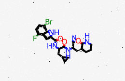 N#CC(C[C@@H]1CCCNC1=O)NC(=O)C(CC1CC1)NC(=O)c1cc2c(F)ccc(Br)c2[nH]1